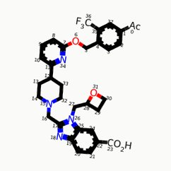 CC(=O)c1ccc(COc2cccc(C3CCN(Cc4nc5ccc(C(=O)O)cc5n4CC4CCO4)CC3)n2)c(C(F)(F)F)c1